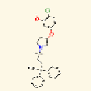 C#CC(CCC(C)(C)N1CC[C@@H](Oc2ccc(Cl)c(OC)c2)C1)(c1ccccc1)c1ccccc1